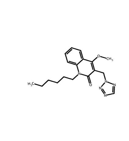 CCCCCCn1c(=O)c(Cn2ncnn2)c(OC)c2ccccc21